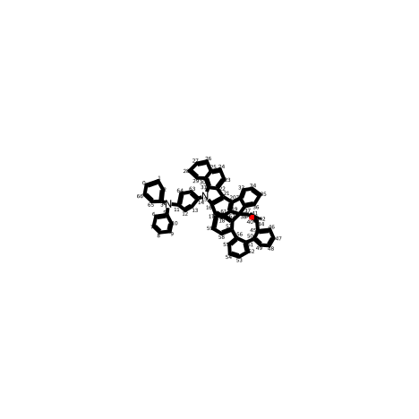 c1ccc(N(c2ccccc2)c2ccc(-n3c4ccc5c(c4c4ccc6ccccc6c43)-c3ccccc3C53c4ccccc4-c4ccccc4-c4ccccc4-c4ccccc43)cc2)cc1